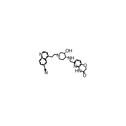 N#Cc1ccc2nccc(CCN3CC[C@H](NCc4ccc5c(n4)NC(=O)CO5)[C@H](O)C3)c2c1